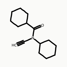 C#CN(C(=O)C1CCCCC1)C1CCCCC1